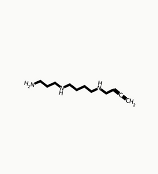 C=C=CCNCCCCNCCCN